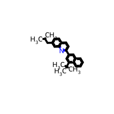 CC(C)Cc1ccc2ccc(-c3cc(C(C)(C)C)c4ccccc4c3)nc2c1